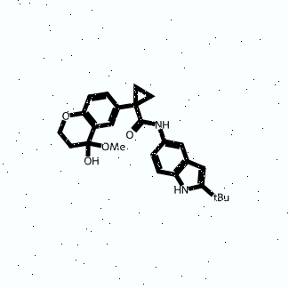 COC1(O)CCOc2ccc(C3(C(=O)Nc4ccc5[nH]c(C(C)(C)C)cc5c4)CC3)cc21